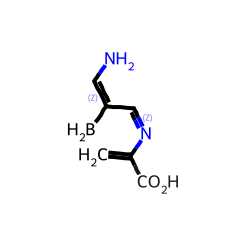 BC(/C=N\C(=C)C(=O)O)=C/N